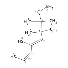 BOC(C)(C)C(C)(C)/C=C(S)/C=C\S